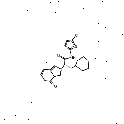 O=C1CC=CC2=CN([C@@H](CC3CCCCC3)C(=O)Nc3ncc(Cl)s3)CC12